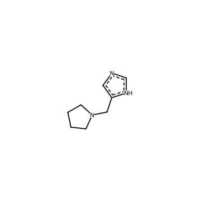 c1ncc(CN2CCCC2)[nH]1